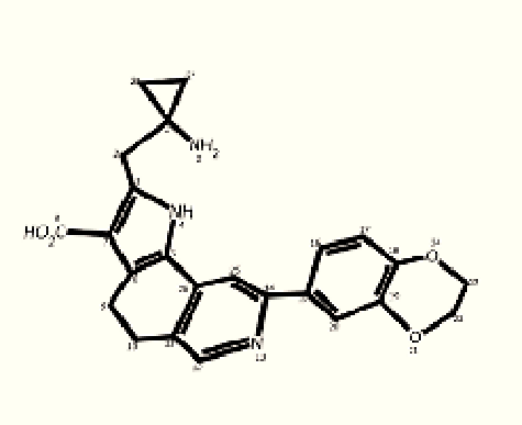 NC1(Cc2[nH]c3c(c2C(=O)O)CCc2cnc(-c4ccc5c(c4)OCCO5)cc2-3)CC1